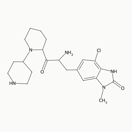 Cn1c(=O)[nH]c2c(Cl)cc(CC(N)C(=O)C3CCCCN3C3CCNCC3)cc21